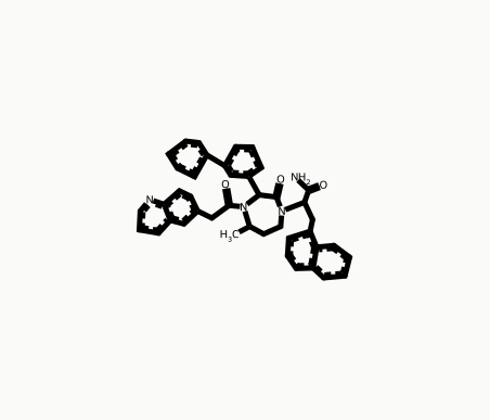 CC1CCN(C(Cc2cccc3ccccc23)C(N)=O)C(=O)C(c2cccc(-c3ccccc3)c2)N1C(=O)Cc1ccc2ncccc2c1